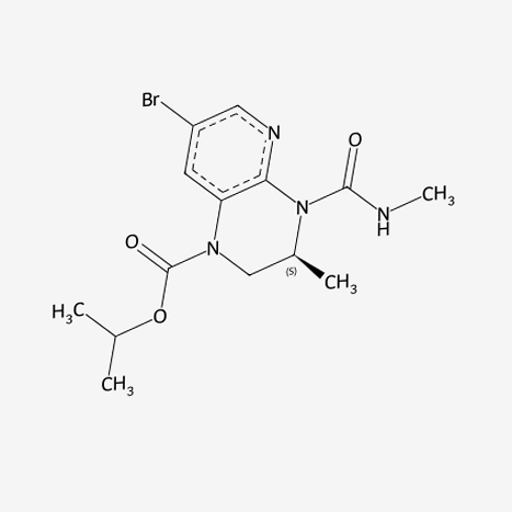 CNC(=O)N1c2ncc(Br)cc2N(C(=O)OC(C)C)C[C@@H]1C